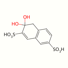 O=S(=O)(O)C1=Cc2cc(S(=O)(=O)O)ccc2CC1(O)O